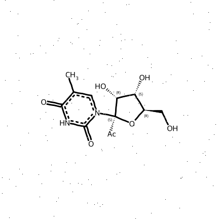 CC(=O)[C@@]1(n2cc(C)c(=O)[nH]c2=O)O[C@H](CO)[C@@H](O)[C@H]1O